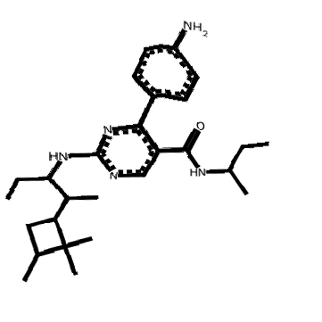 CCC(C)NC(=O)c1cnc(NC(CC)C(C)C2CC(C)C2(C)C)nc1-c1ccc(N)cc1